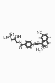 CCN(CC)CC(O)CNC(=O)c1ccc(C#Cc2c(N)ncc3ccc(C#N)cc23)cc1